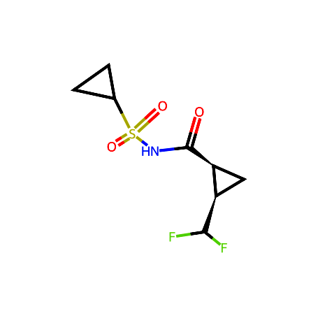 O=C(NS(=O)(=O)C1CC1)[C@H]1C[C@H]1C(F)F